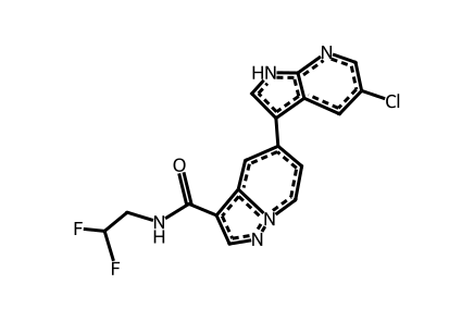 O=C(NCC(F)F)c1cnn2ccc(-c3c[nH]c4ncc(Cl)cc34)cc12